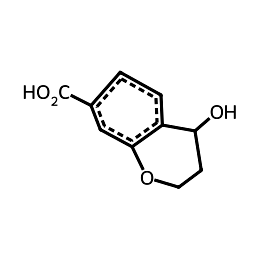 O=C(O)c1ccc2c(c1)OCCC2O